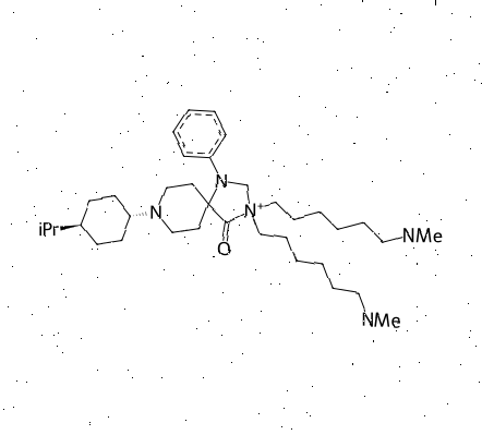 CNCCCCCC[N+]1(CCCCCCNC)CN(c2ccccc2)C2(CCN([C@H]3CC[C@H](C(C)C)CC3)CC2)C1=O